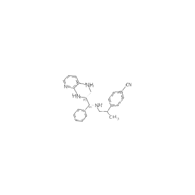 CC(CN[C@H](c1ccccc1)[C@H]1CNc2cccnc2N1)c1ccc(C#N)cc1